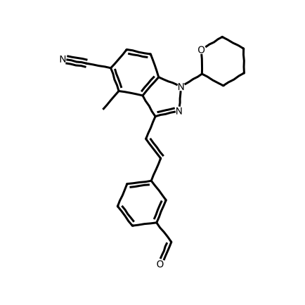 Cc1c(C#N)ccc2c1c(C=Cc1cccc(C=O)c1)nn2C1CCCCO1